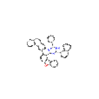 c1ccc(C2=NC(c3c(-c4ccc5ccc6ccccc6c5c4)ccc4oc5ccccc5c34)=NC(c3cccc4ccccc34)N2)cc1